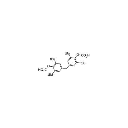 CC(C)(C)c1cc(Cc2cc(C(C)(C)C)c(OC(=O)O)c(C(C)(C)C)c2)cc(C(C)(C)C)c1OC(=O)O